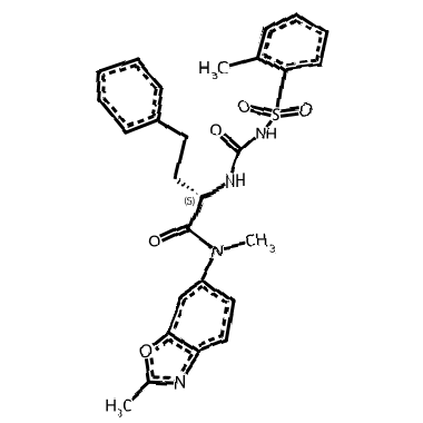 Cc1nc2ccc(N(C)C(=O)[C@H](CCc3ccccc3)NC(=O)NS(=O)(=O)c3ccccc3C)cc2o1